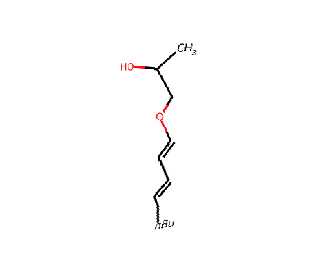 CCCCC=CC=COCC(C)O